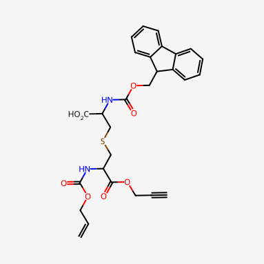 C#CCOC(=O)C(CSCC(NC(=O)OCC1c2ccccc2-c2ccccc21)C(=O)O)NC(=O)OCC=C